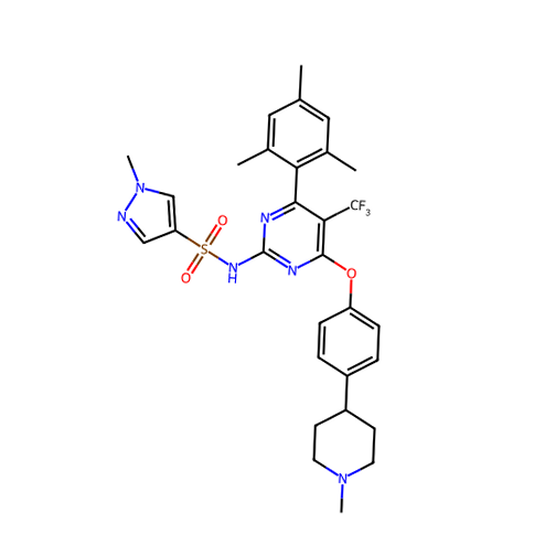 Cc1cc(C)c(-c2nc(NS(=O)(=O)c3cnn(C)c3)nc(Oc3ccc(C4CCN(C)CC4)cc3)c2C(F)(F)F)c(C)c1